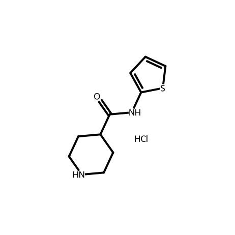 Cl.O=C(Nc1cccs1)C1CCNCC1